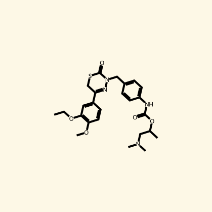 CCOc1cc(C2=NN(Cc3ccc(NC(=O)OC(C)CN(C)C)cc3)C(=O)SC2)ccc1OC